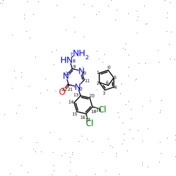 C1=CC2=CC=C1C2.NNc1ncn(-c2ccc(Cl)c(Cl)c2)c(=O)n1